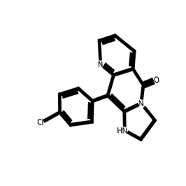 O=c1c2cccnc2c(-c2ccc(Cl)cc2)c2n1CCN2